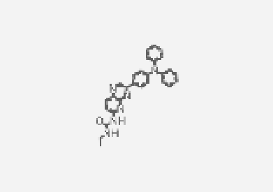 CCNC(=O)Nc1ccc2ncc(-c3ccc(N(c4ccccc4)c4ccccc4)cc3)nc2n1